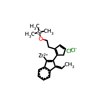 CC=C1C(C2=C(CCO[Si](C)(C)C)C=CC2)=[C]([Zr+2])c2ccccc21.[Cl-].[Cl-]